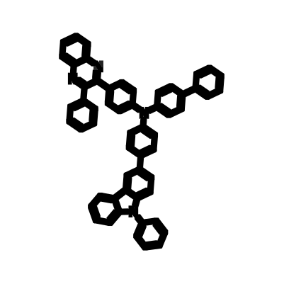 c1ccc(-c2ccc(N(c3ccc(-c4ccc5c(c4)c4ccccc4n5-c4ccccc4)cc3)c3ccc(-c4nc5ccccc5nc4-c4ccccc4)cc3)cc2)cc1